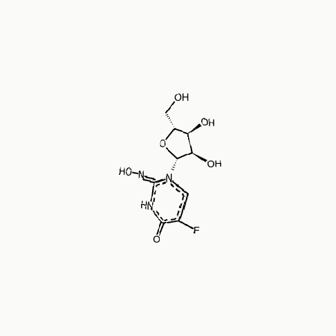 O=c1[nH]/c(=N\O)n([C@@H]2O[C@H](CO)[C@@H](O)[C@H]2O)cc1F